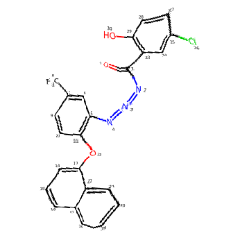 O=C(N=[N+]=Nc1cc(C(F)(F)F)ccc1Oc1cccc2ccccc12)c1cc(Cl)ccc1O